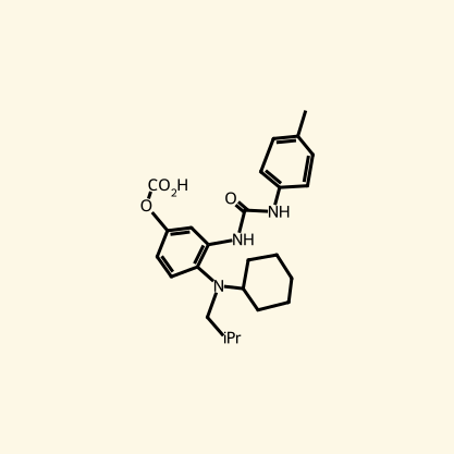 Cc1ccc(NC(=O)Nc2cc(OC(=O)O)ccc2N(CC(C)C)C2CCCCC2)cc1